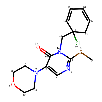 CSc1ncc(N2CCOCC2)c(=O)n1CC1(Cl)C=CC=CC1